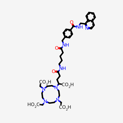 O=C(O)CN1CCN(CC(=O)O)CCN(C(CCC(=O)NCCCCC(=O)NCc2ccc(C(=O)NCc3nccc4ccccc34)cc2)C(=O)O)CCN(CC(=O)O)CC1